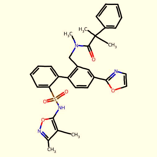 Cc1noc(NS(=O)(=O)c2ccccc2-c2ccc(-c3ncco3)cc2CN(C)C(=O)C(C)(C)c2ccccc2)c1C